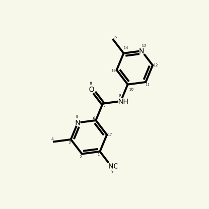 [C-]#[N+]c1cc(C)nc(C(=O)Nc2ccnc(C)c2)c1